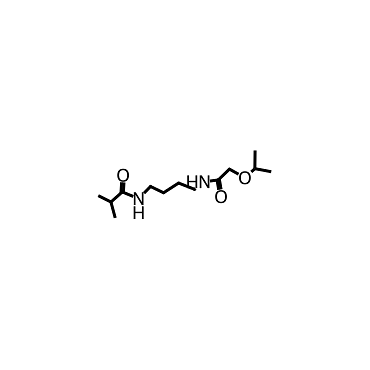 CC(C)OCC(=O)NCCCCNC(=O)C(C)C